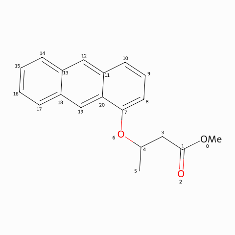 COC(=O)CC(C)Oc1cccc2cc3ccccc3cc12